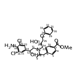 COC(=O)c1ccc(C[C@@H](C)N(CC(O)c2cc(Cl)c(N)c(Cl)c2)C[C@H](O)COc2ccccc2)cc1